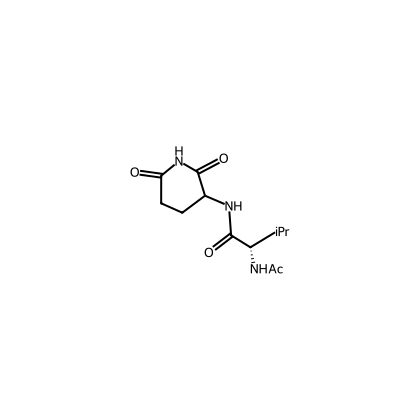 CC(=O)N[C@H](C(=O)NC1CCC(=O)NC1=O)C(C)C